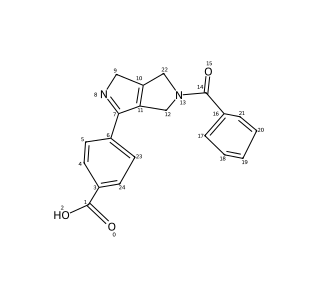 O=C(O)c1ccc(C2=NCC3=C2CN(C(=O)c2ccccc2)C3)cc1